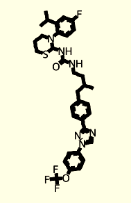 CC(CCNC(=O)NC1SCCCN1c1ccc(F)cc1C(C)C)Cc1ccc(-c2ncn(-c3ccc(OC(F)(F)F)cc3)n2)cc1